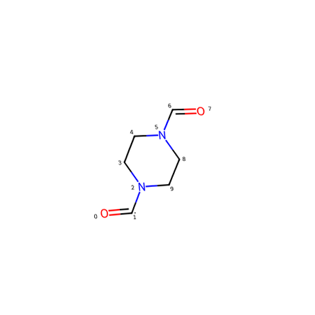 O=[C]N1CCN(C=O)CC1